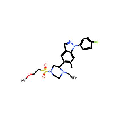 Cc1cc2c(cnn2-c2ccc(F)cc2)cc1C1CN(S(=O)(=O)CCOC(C)C)CCN1CC(C)C